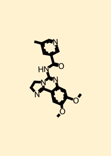 COc1cc2c(cc1OC)C1=NCCN1C(NC(=O)c1cncc(C)c1)=N2